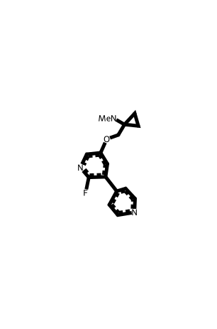 CNC1(COc2cnc(F)c(-c3ccncc3)c2)CC1